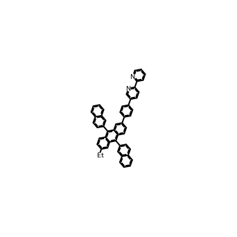 CCc1ccc2c(-c3ccc4ccccc4c3)c3cc(-c4ccc(-c5ccc(-c6ccccn6)nc5)cc4)ccc3c(-c3ccc4ccccc4c3)c2c1